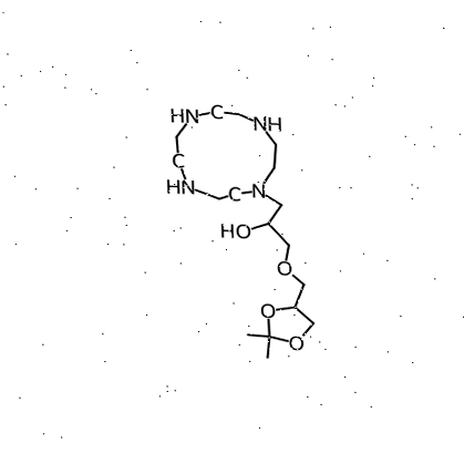 CC1(C)OCC(COCC(O)CN2CCNCCNCCNCC2)O1